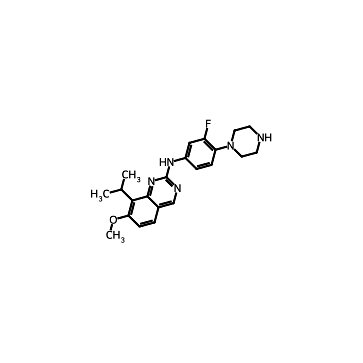 COc1ccc2cnc(Nc3ccc(N4CCNCC4)c(F)c3)nc2c1C(C)C